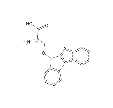 N[C@@H](COC1c2ccccc2-c2c1sc1ccccc21)C(=O)O